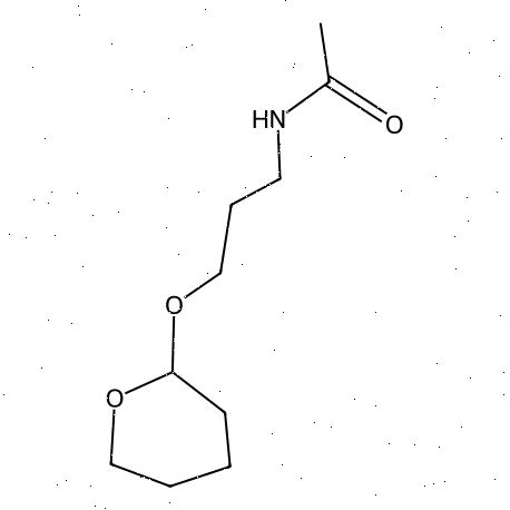 CC(=O)NCCCOC1CCCCO1